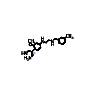 COc1cc(NCCNCc2cccc(C)c2)ccc1/C(C=N)=C/N